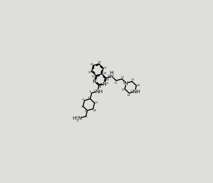 NCC1CCC(CNc2nc(NCCN3CCNCC3)c3ccccc3n2)CC1